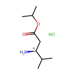 CC(C)OC(=O)C[C@H](N)C(C)C.Cl